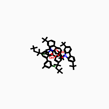 Cc1cc(F)cc(C2=CC(C(C)(C)CC(C)(C)C)=CC(n3c4cc(C(C)(C)C)ccc4c4ccc(C(C)(C)C)cc43)C2(O)OCCCOc2c(C)cc(F)cc2-c2cc(C(C)(C)CC(C)(C)C)cc(-n3c4cc(C(C)(C)C)ccc4c4ccc(C(C)(C)C)cc43)c2O)c1